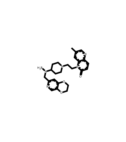 BN(Cc1cc2c(cn1)OCCO2)C1CCN(CCn2c(=O)ccc3ncc(C)cc32)CC1